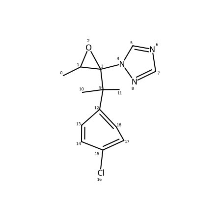 CC1OC1(n1cncn1)C(C)(C)c1ccc(Cl)cc1